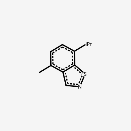 Cc1ccc(C(C)C)c2sncc12